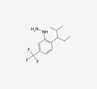 CCC(c1ccc(C(F)(F)F)cc1NN)C(C)C